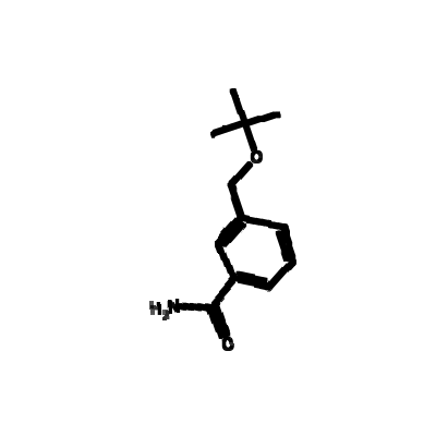 CC(C)(C)OCc1cccc(C(N)=O)c1